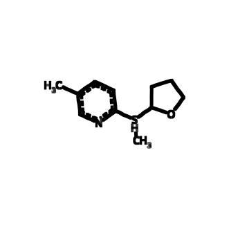 Cc1ccc([SH](C)C2CCCO2)nc1